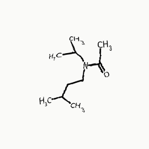 CC(=O)N(CCC(C)C)C(C)C